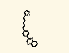 C(=Cc1ccc(-c2cnc3ccccc3n2)cc1)CC=Cc1ccco1